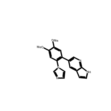 COc1cc(-c2cnc3[nH]ccc3c2)c(-n2ccnc2)cc1OC